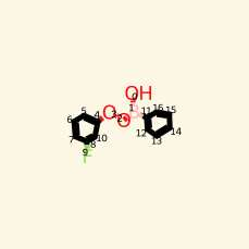 OB(OOc1cccc(F)c1)c1ccccc1